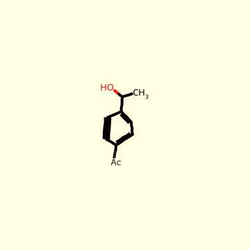 CC(=O)c1c#cc(C(C)O)cc1